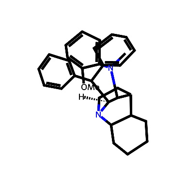 COc1ccccc1N(C)C1C2CCN(C3CCCCC23)[C@H]1C(c1ccccc1)c1ccccc1